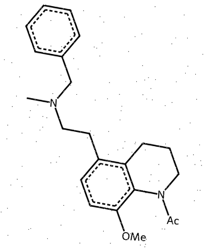 COc1ccc(CCN(C)Cc2ccccc2)c2c1N(C(C)=O)CCC2